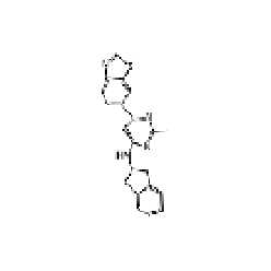 Cc1nc(NC2Cc3ccccc3C2)cc(-c2ccc3ncsc3c2)n1